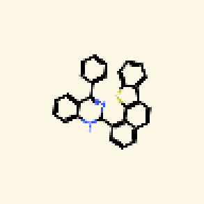 c1ccc(C2=NC(c3cccc4ccc5c6ccccc6sc5c34)Nc3ccccc32)cc1